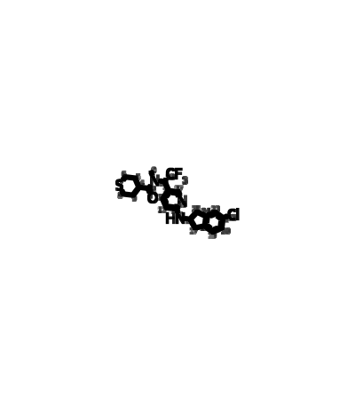 CN(C(=O)C1CCSCC1)C(c1ccc(NC2Cc3ccc(Cl)cc3C2)nc1)C(F)(F)F